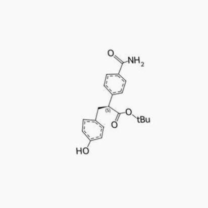 CC(C)(C)OC(=O)[C@@H](Cc1ccc(O)cc1)c1ccc(C(N)=O)cc1